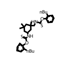 CCCCc1ccccc1OC(=S)NCC1(C)CC(NC(=S)Oc2ccccc2CCCC)CC(C)(C)C1